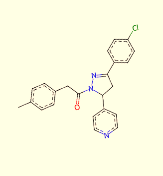 Cc1ccc(CC(=O)N2N=C(c3ccc(Cl)cc3)CC2c2ccncc2)cc1